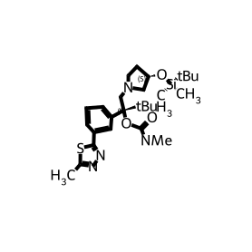 CNC(=O)O[C@@](CN1CC[C@H](O[Si](C)(C)C(C)(C)C)C1)(c1cccc(-c2nnc(C)s2)c1)C(C)(C)C